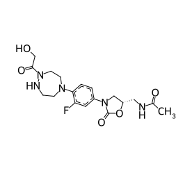 CC(=O)NC[C@H]1CN(c2ccc(N3CCNN(C(=O)CO)CC3)c(F)c2)C(=O)O1